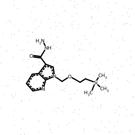 C[Si](C)(C)CCOCn1cc(C(=O)NN)c2cccnc21